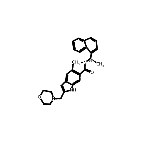 Cc1cc2cc(CN3CCOCC3)[nH]c2cc1C(=O)N[C@H](C)c1cccc2ccccc12